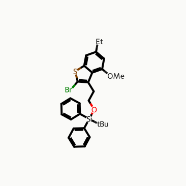 CCc1cc(OC)c2c(CCO[Si](c3ccccc3)(c3ccccc3)C(C)(C)C)c(Br)sc2c1